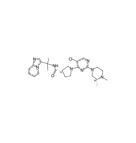 C[C@@H]1CN(c2ncc(Cl)c(N3CC[C@H](C(=O)NC(C)(C)c4cnc5ccccn45)C3)n2)CCN1C